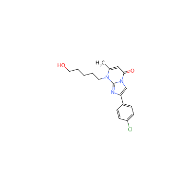 Cc1cc(=O)n2cc(-c3ccc(Cl)cc3)nc2n1CCCCCO